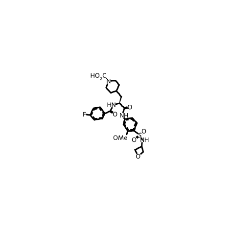 COc1cc(NC(=O)[C@H](CC2CCN(C(=O)O)CC2)NC(=O)c2ccc(F)cc2)ccc1S(=O)(=O)NC1COC1